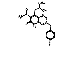 COC(O)Cc1c(C(N)=O)c(=O)[nH]c2cc(Cc3ccc(F)cc3)cnc12